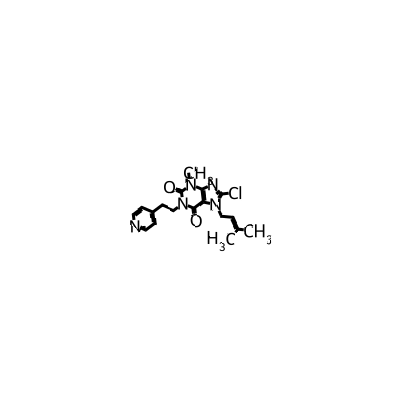 CC(C)=CCn1c(Cl)nc2c1c(=O)n(CCc1ccncc1)c(=O)n2C